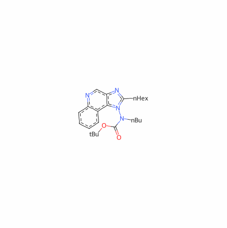 CCCCCCc1nc2cnc3ccccc3c2n1N(CCCC)C(=O)OC(C)(C)C